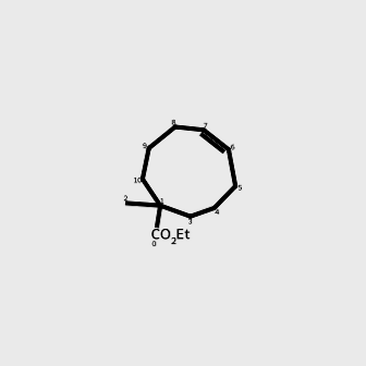 CCOC(=O)C1(C)CCCC=CCCC1